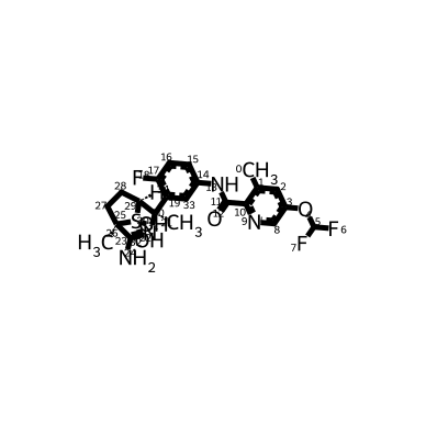 Cc1cc(OC(F)F)cnc1C(=O)Nc1ccc(F)c([C@@]2(C)N=C(N)[C@@]3(C)CC[C@@H]2S3(O)O)c1